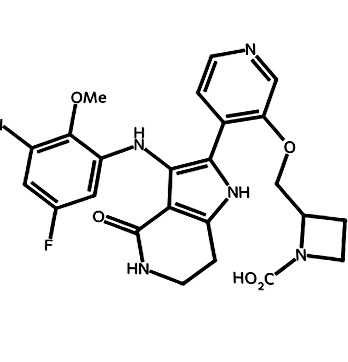 COc1c(Cl)cc(F)cc1Nc1c(-c2ccncc2OCC2CCN2C(=O)O)[nH]c2c1C(=O)NCC2